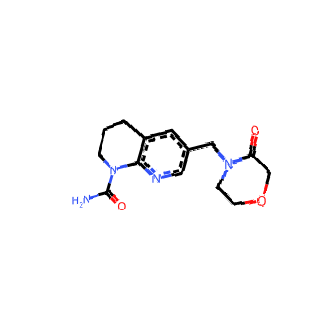 NC(=O)N1CCCc2cc(CN3CCOCC3=O)cnc21